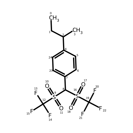 CCC(C)c1ccc(C(S(=O)(=O)C(F)(F)F)S(=O)(=O)C(F)(F)F)cc1